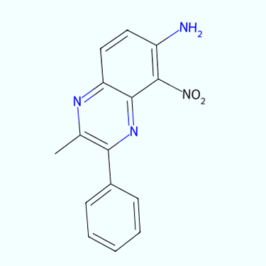 Cc1nc2ccc(N)c([N+](=O)[O-])c2nc1-c1ccccc1